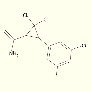 C=C(N)C1C(c2cc(C)cc(Cl)c2)C1(Cl)Cl